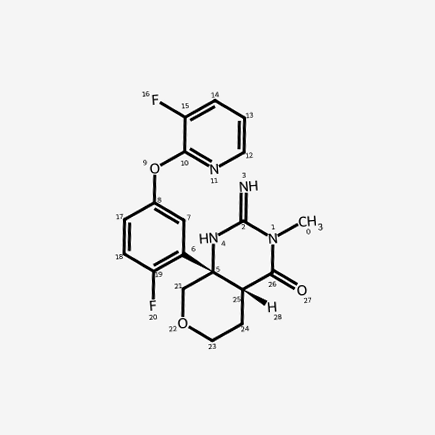 CN1C(=N)N[C@@]2(c3cc(Oc4ncccc4F)ccc3F)COCC[C@H]2C1=O